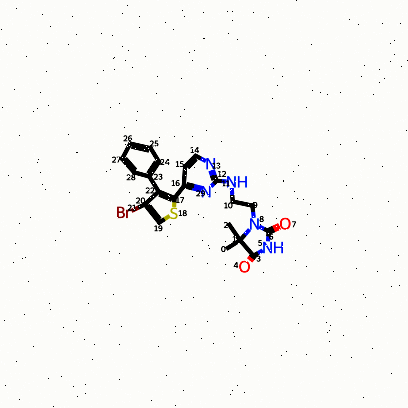 CC1(C)C(=O)NC(=O)N1CCNc1nccc(-c2scc(Br)c2-c2ccccc2)n1